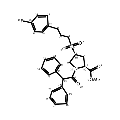 COC(=O)[C@@H]1C[C@H](S(=O)(=O)CCCc2ccc(F)cc2)CN1C(=O)C(c1ccccc1)c1ccccc1